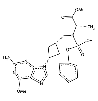 COC(=O)[C@H](C)N(C[C@H]1C[C@@H](n2cnc3c(OC)nc(N)nc32)C1)P(=O)(O)Oc1ccccc1